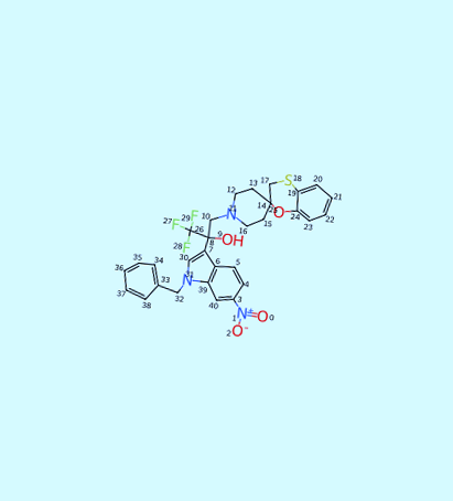 O=[N+]([O-])c1ccc2c(C(O)(CN3CCC4(CC3)CSc3ccccc3O4)C(F)(F)F)cn(Cc3ccccc3)c2c1